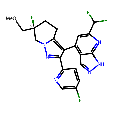 COC[C@]1(F)CCc2c(-c3cc(C(F)F)nc4[nH]ncc34)c(-c3ccc(F)cn3)nn2C1